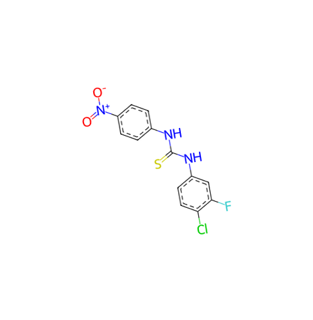 O=[N+]([O-])c1ccc(NC(=S)Nc2ccc(Cl)c(F)c2)cc1